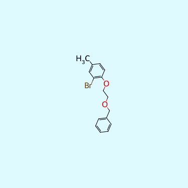 Cc1ccc(OCCOCc2ccccc2)c(Br)c1